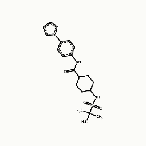 CC(C)(C)S(=O)(=O)NC1CCC(C(=O)Nc2ccc(-n3cccn3)cc2)CC1